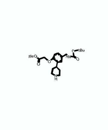 COC(=O)COc1ccc(CNC(=O)OC(C)(C)C)cc1C1CCNCC1